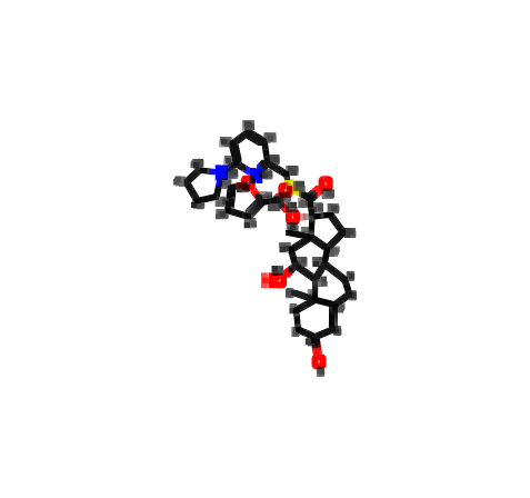 CC12CCC(=O)C=C1CCC1C2[C@@H](O)CC2(C)C1CC[C@]2(OC(=O)c1ccco1)C(=O)SCc1cccc(N2CCCC2)n1